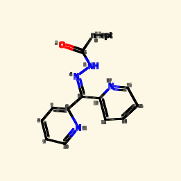 CCCCCCCC(=O)NN=C(c1ccccn1)c1ccccn1